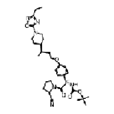 CCc1noc(N2CCC(C(C)CCOc3ccc([C@H](NC(=O)OC(C)(C)C)C(=O)N4CCCC4C#N)cc3)CC2)n1